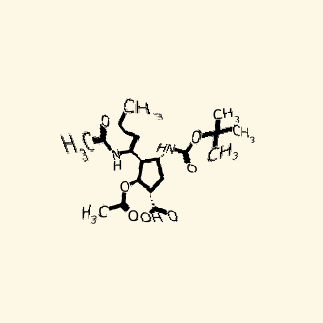 CCCC(NC(C)=O)[C@@H]1[C@H](OC(C)=O)[C@@H](C(=O)O)C[C@H]1NC(=O)OC(C)(C)C